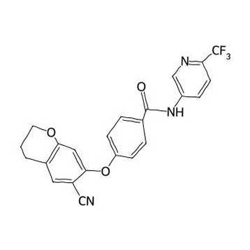 N#Cc1cc2c(cc1Oc1ccc(C(=O)Nc3ccc(C(F)(F)F)nc3)cc1)OCCC2